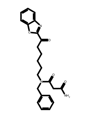 NC(=O)CC(=O)N(CCCCCC(=O)c1nc2ccccc2o1)Cc1ccccc1